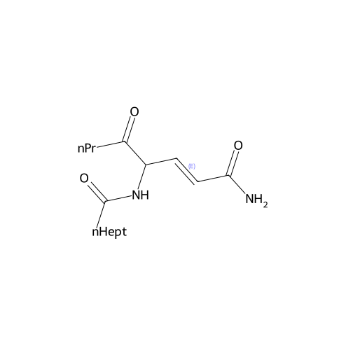 CCCCCCCC(=O)NC(/C=C/C(N)=O)C(=O)CCC